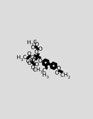 C=CC(=O)Oc1ccc(-c2ccc(OCC(COC(=O)C(=C)C)(COC(=O)C(=O)OC)COC(=O)C(=O)OC)cc2CC)cc1